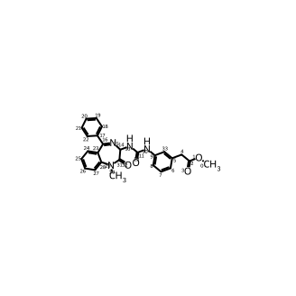 COC(=O)Cc1cccc(NC(=O)NC2N=C(c3ccccc3)c3ccccc3N(C)C2=O)c1